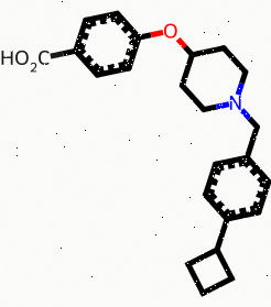 O=C(O)c1ccc(OC2CCN(Cc3ccc(C4CCC4)cc3)CC2)cc1